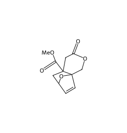 COC(=O)C12CC(=O)OCC13C=CC(C2)O3